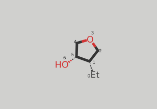 CC[C@H]1COC[C@H]1O